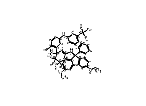 COc1ccc(C(NC2=NC(C)(c3cc(Nc4cccc(C(F)(F)F)n4)ccc3F)C(F)(F)C(C)(C)O2)(c2ccccc2)c2ccc(OC)cc2)cc1